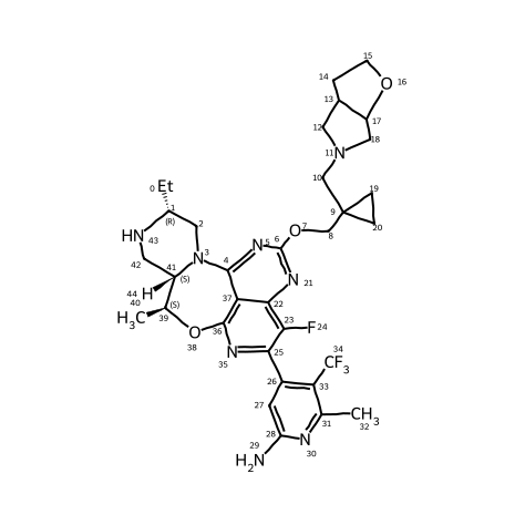 CC[C@@H]1CN2c3nc(OCC4(CN5CC6CCOC6C5)CC4)nc4c(F)c(-c5cc(N)nc(C)c5C(F)(F)F)nc(c34)O[C@@H](C)[C@@H]2CN1